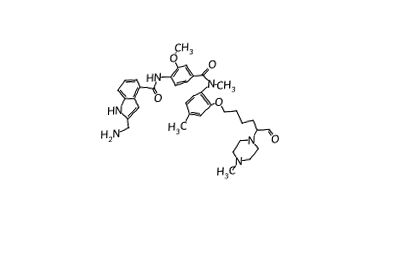 COc1cc(C(=O)N(C)c2ccc(C)cc2OCCCCC(C=O)N2CCN(C)CC2)ccc1NC(=O)c1cccc2[nH]c(CN)cc12